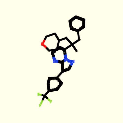 CC([CH]c1ccccc1)([CH]C1CCOCC1)c1ccnc2c(-c3ccc(C(F)(F)F)cc3)cnn12